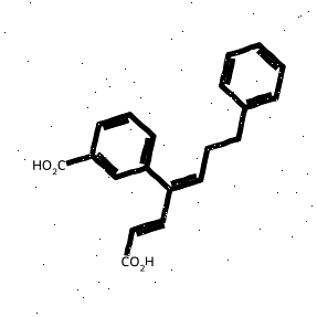 O=C(O)C=CC(=CCCc1ccccc1)c1cccc(C(=O)O)c1